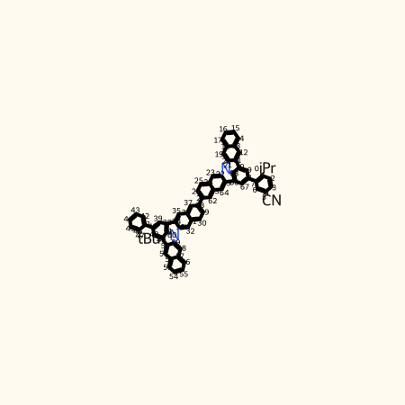 CC(C)c1ccc(C#N)cc1-c1cc2c3cc4ccccc4cc3n3c4cc5ccc(-c6ccc7cc8c(cc7c6)c6cc(-c7ccccc7C(C)(C)C)cc7c9cc%10ccccc%10cc9n8c76)cc5cc4c(c1)c23